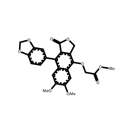 COc1cc2c(OCC(=O)OC(C)(C)C)c3c(c(-c4ccc5c(c4)OCO5)c2cc1OC)C(=O)OC3